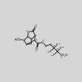 CC(=O)OC1C2CC3C1OC(=O)C3C2C(=O)OCCC(F)(F)C(F)(F)S(=O)(=O)O